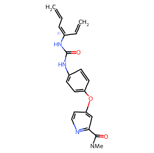 C=C/C=C(\C=C)NC(=O)Nc1ccc(Oc2ccnc(C(=O)NC)c2)cc1